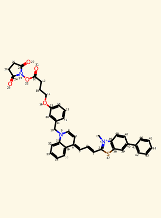 C[n+]1c(C=CC=C2C=CN(Cc3cccc(OCCCC(=O)ON4C(=O)CCC4=O)c3)c3ccccc32)sc2cc(-c3ccccc3)ccc21